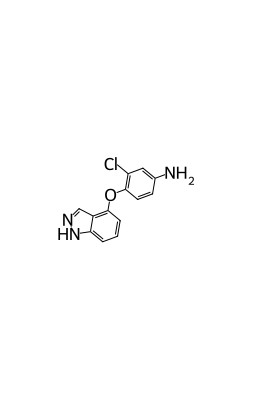 Nc1ccc(Oc2cccc3[nH]ncc23)c(Cl)c1